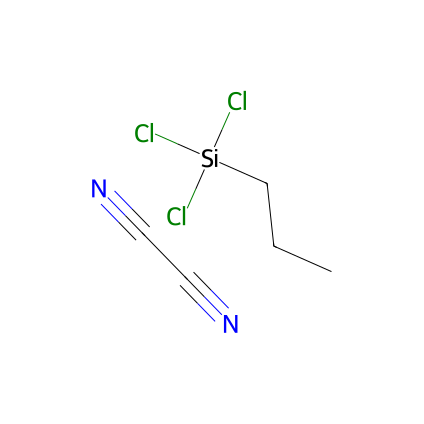 CCC[Si](Cl)(Cl)Cl.N#CC#N